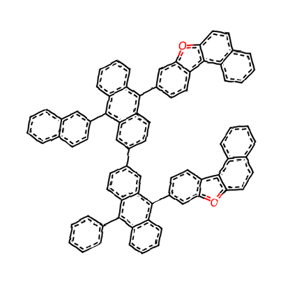 c1ccc(-c2c3ccccc3c(-c3ccc4c(c3)oc3ccc5ccccc5c34)c3cc(-c4ccc5c(-c6ccc7c(c6)oc6ccc8ccccc8c67)c6ccccc6c(-c6ccc7ccccc7c6)c5c4)ccc23)cc1